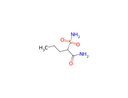 CCCC(C(N)=O)S(N)(=O)=O